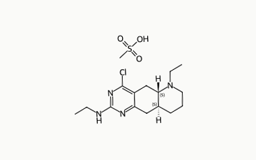 CCNc1nc(Cl)c2c(n1)C[C@@H]1CCCN(CC)[C@H]1C2.CS(=O)(=O)O